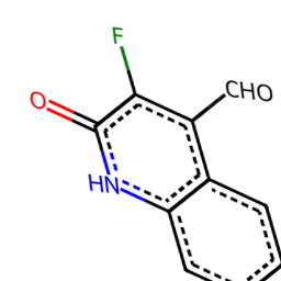 O=Cc1c(F)c(=O)[nH]c2ccccc12